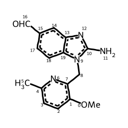 COc1ccc(C)nc1Cn1c(N)nc2cc(C=O)ccc21